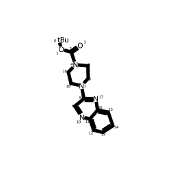 CC(C)(C)OC(=O)N1CCN(c2cnc3ccccc3n2)CC1